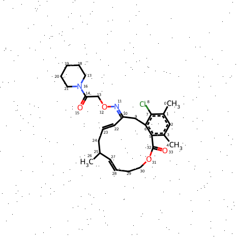 Cc1cc(C)c2c(c1Cl)CC(=N/OCC(=O)N1CCCCC1)/C=C/CC(C)/C=C/CCOC2=O